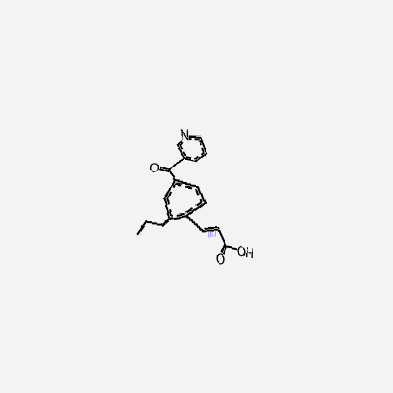 CCCc1cc(C(=O)c2cccnc2)ccc1/C=C/C(=O)O